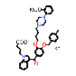 COc1ccccc1N1CCN(CCCCOc2cc(C(=O)c3cn(CCCC(=O)[O-])c4ccccc34)ccc2OCc2ccc(C)cc2)CC1.[K+]